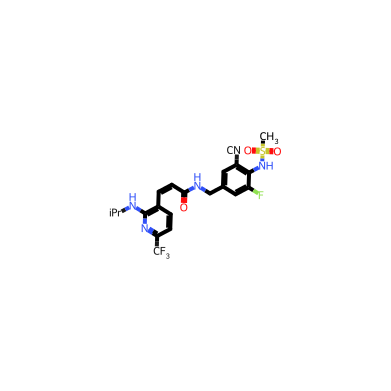 CC(C)Nc1nc(C(F)(F)F)ccc1/C=C\C(=O)NCc1cc(F)c(NS(C)(=O)=O)c(C#N)c1